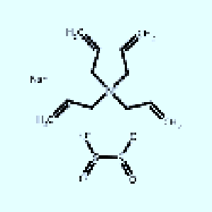 C=CC[N+](CC=C)(CC=C)CC=C.O=S([O-])S(=O)[O-].[Na+]